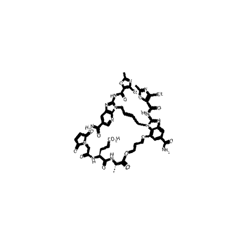 CCc1nc(C)oc1C(=O)Nc1nc2cc(C(N)=O)cnc2n1C/C=C/Cn1c(NC(=O)c2oc(C)nc2CC)nc2cc(C(N)=O)cc(OCCCOC(=O)[C@H](C)NC(=O)[C@H](CCC(=O)O)NC(=O)CN3C(=O)C=CC3=O)c21